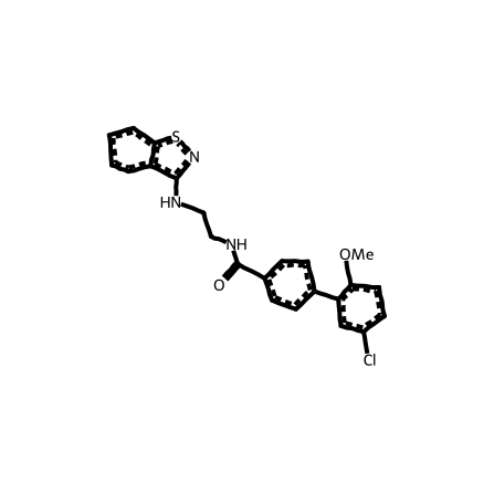 COc1ccc(Cl)cc1-c1ccc(C(=O)NCCNc2nsc3ccccc23)cc1